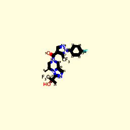 C[C@H]1CN(C(=O)c2cnn(-c3ccc(F)cc3)c2C(F)(F)F)Cc2cnc(C(C)(O)C(F)(F)F)n21